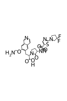 NCOc1cc2cnccc2cc1CC(C(=O)O)N1CCC(NS(=O)(=O)c2cnc(N3CCC(F)(F)C3)s2)C1=O